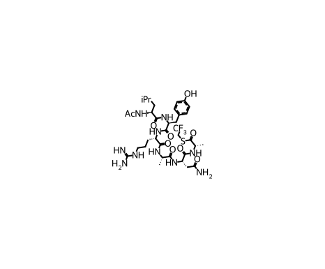 CC(=O)N[C@@H](CC(C)C)C(=O)N[C@@H](Cc1ccc(O)cc1)C(=O)N[C@@H](CCCNC(=N)N)C(=O)N[C@@H](C)C(=O)N[C@@H](CC(N)=O)C(=O)N[C@@H](C)C(=O)SCC(F)(F)F